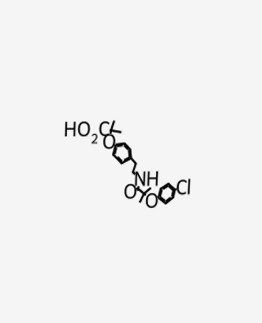 CC(C)(Oc1ccc(CCNC(=O)C(C)(C)Oc2ccc(Cl)cc2)cc1)C(=O)O